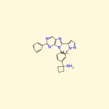 Cn1nccc1-c1nc2cnc(-c3ccccc3)nc2n1-c1ccc(C2(N)CCC2)cc1